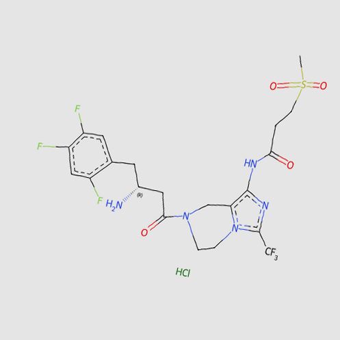 CS(=O)(=O)CCC(=O)Nc1nc(C(F)(F)F)n2c1CN(C(=O)C[C@H](N)Cc1cc(F)c(F)cc1F)CC2.Cl